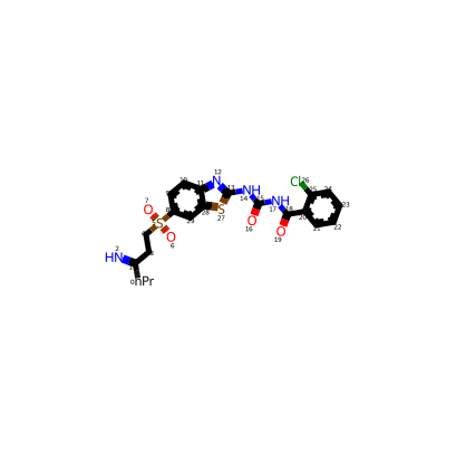 CCCC(=N)CCS(=O)(=O)c1ccc2nc(NC(=O)NC(=O)c3ccccc3Cl)sc2c1